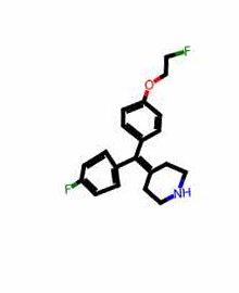 FCCOc1ccc(C(=C2CCNCC2)c2ccc(F)cc2)cc1